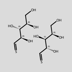 OC[C@@H](O)[C@@H](O)[C@@H](O)C=S.OC[C@@H](O)[C@H](O)[C@H](O)C=S